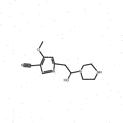 COc1cc(CC(O)N2CCNCC2)ncc1C#N